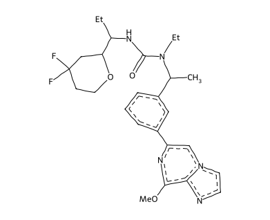 CCC(NC(=O)N(CC)C(C)c1cccc(-c2cn3ccnc3c(OC)n2)c1)C1CC(F)(F)CCO1